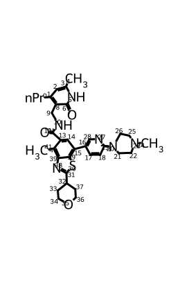 CCCc1cc(C)[nH]c(=O)c1CNC(=O)c1cc(-c2ccc(N3CCN(C)CC3)nc2)c2sc(C3CCOCC3)nc2c1C